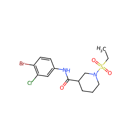 CCS(=O)(=O)N1CCCC(C(=O)Nc2ccc(Br)c(Cl)c2)C1